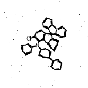 Clc1ccc2c(c1N(c1ccccc1)c1ccc(-c3ccccc3)cc1)-c1ccccc1C21c2ccccc2-c2ccccc21